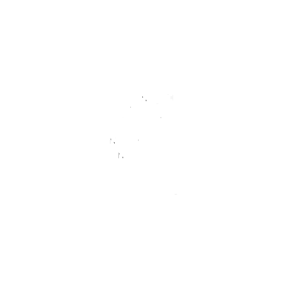 CC(C)(Cc1nnc(-c2ccc(F)cc2)o1)NC(=O)O